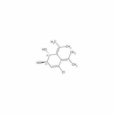 CC(C)=C1C(Cl)=C[C@@H](O)[C@H](O)C1=C(C)C